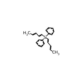 CC=CC=C[Si](C=CC=CC)(c1ccccc1)c1ccccc1